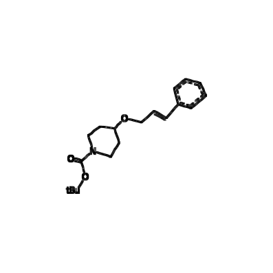 CC(C)(C)OC(=O)N1CCC(OCC=Cc2ccccc2)CC1